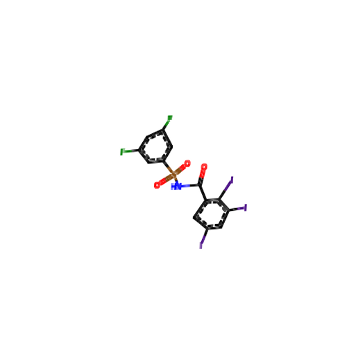 O=C(NS(=O)(=O)c1cc(F)cc(F)c1)c1cc(I)cc(I)c1I